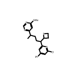 CSc1cc(C(C)CCC(c2cc(C(C)C)cc(Cl)n2)C2CCS2)ncn1